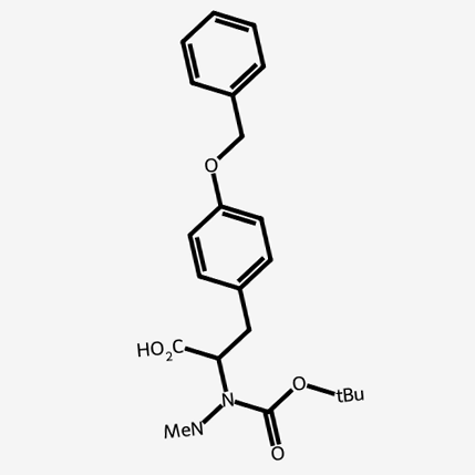 CNN(C(=O)OC(C)(C)C)C(Cc1ccc(OCc2ccccc2)cc1)C(=O)O